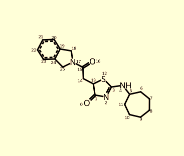 O=C1N=C(NC2CCCCCC2)SC1CC(=O)N1Cc2ccccc2C1